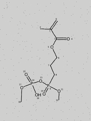 C=C(C)C(=O)OCCCP(=O)(OC)OP(=O)(O)OC